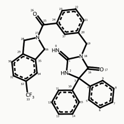 N=C1NC(c2ccccc2)(c2ccccc2)C(=O)N1Cc1cccc(C(=O)N2Cc3ccc(C(F)(F)F)cc3C2)c1